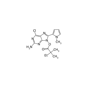 CCC(C)(C)C(=O)On1c(-c2cccn2C)nc2c(Cl)nc(N)nc21